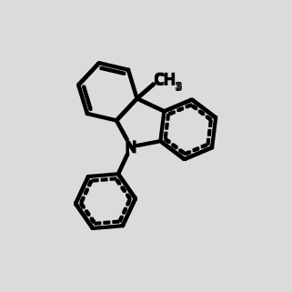 CC12C=CC=CC1N(c1ccccc1)c1ccccc12